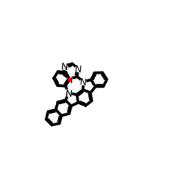 c1ccc(-n2c3cc4ccccc4cc3c3ccc4c5ccccc5n(-c5ncncn5)c4c32)cc1